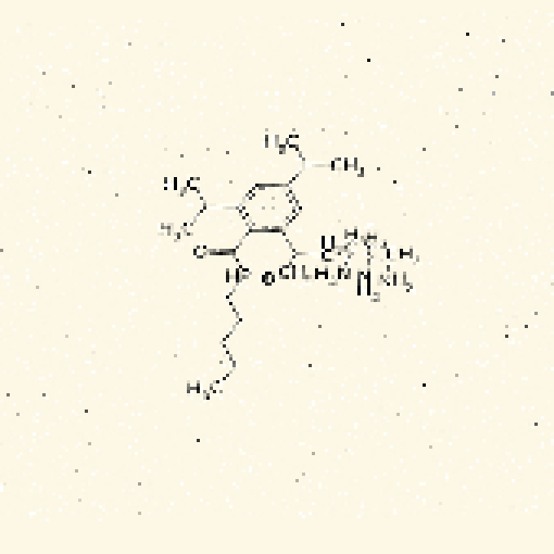 CCCCC[PH](=O)C(=O)c1c(C(C)C)cc(C(C)C)cc1C(C)C.CN.CN.CN